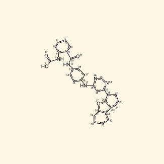 O=C(O)Nc1ccccc1C(=O)Nc1ccc(Nc2cc(-c3cccc4c3oc3ccccc34)ncn2)cc1